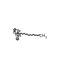 CCCCCCCCCCCCCCc1nc(N2CCC2)nc(OC2CCC2)c1Br